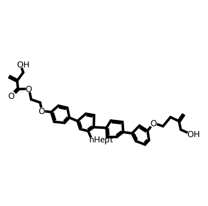 C=C(CO)CCOc1cccc(-c2ccc(-c3ccc(-c4ccc(OCCOC(=O)C(=C)CO)cc4)cc3CCCCCCC)cc2)c1